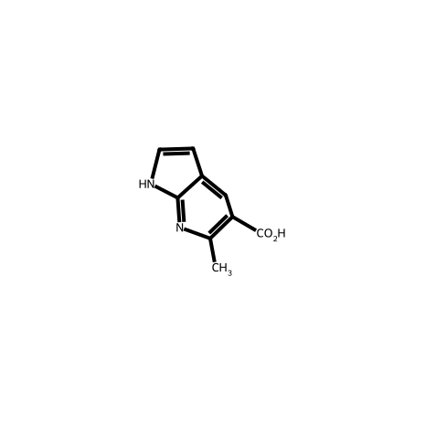 Cc1nc2[nH]ccc2cc1C(=O)O